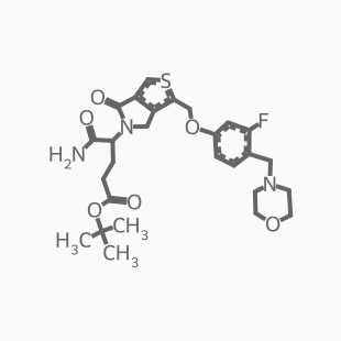 CC(C)(C)OC(=O)CCC(C(N)=O)N1Cc2c(csc2COc2ccc(CN3CCOCC3)c(F)c2)C1=O